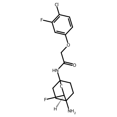 NC12CCC(NC(=O)COc3ccc(Cl)c(F)c3)(CC1)C[C@@H]2F